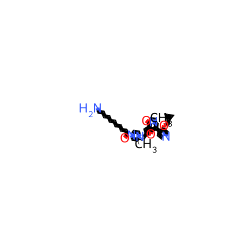 C[C@@H]1CN(C(=O)CCCCCCCCCCN)CCN1Cc1cc2c(=O)n(C)cc(-c3ccncc3OCC3CC3)c2o1